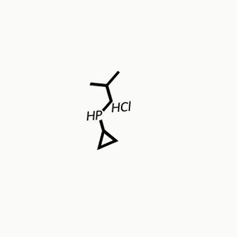 CC(C)CPC1CC1.Cl